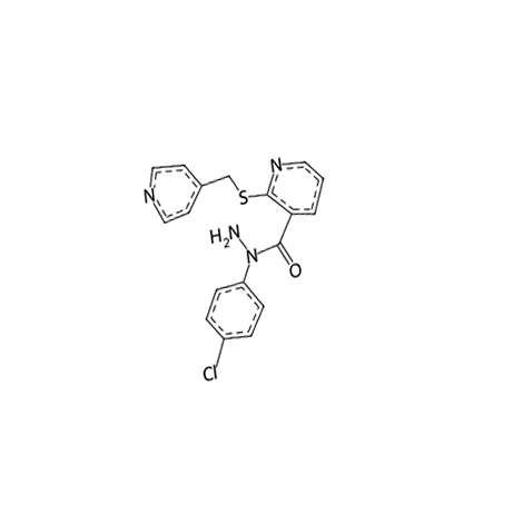 NN(C(=O)c1cccnc1SCc1ccncc1)c1ccc(Cl)cc1